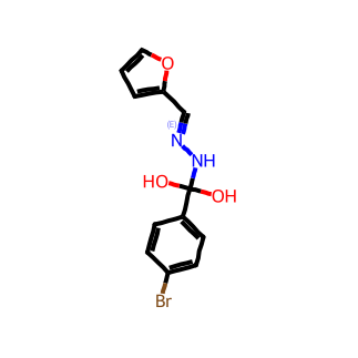 OC(O)(N/N=C/c1ccco1)c1ccc(Br)cc1